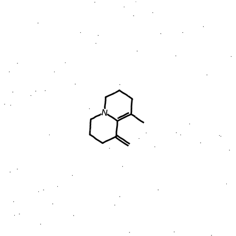 C=C1CCCN2CCCC(C)=C12